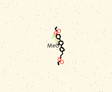 C=CC(=O)OCCCc1ccc(-c2ccc3c(sc4c(F)c(OC(=O)C=C)ccc43)c2OC)cc1